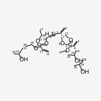 C=C[SiH3].C=C[Si](OC)(OC)OC.C=C[Si](OCC)(OCC)OCC.CC(C)O.CC(C)O.CC(C)O